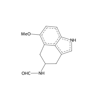 COc1ccc2[nH]cc3c2c1CC(NC=O)C3